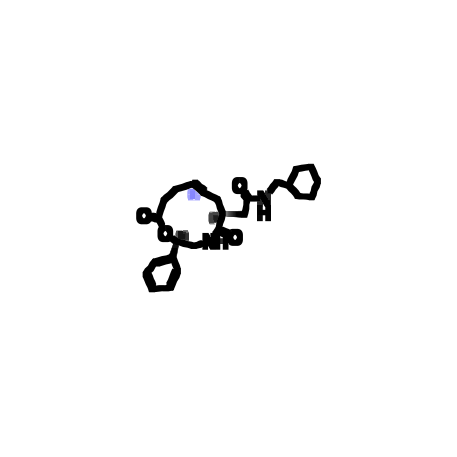 O=C(C[C@@H]1C/C=C/CCC(=O)O[C@H](c2ccccc2)CNC1=O)NCC1CCCCC1